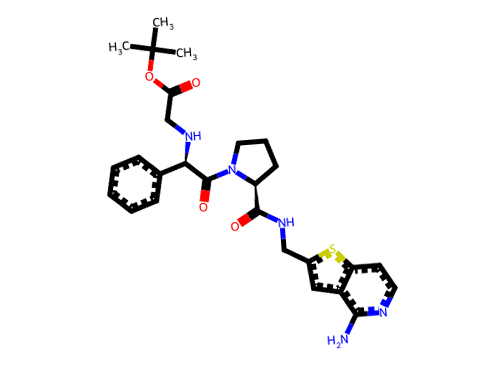 CC(C)(C)OC(=O)CN[C@@H](C(=O)N1CCC[C@H]1C(=O)NCc1cc2c(N)nccc2s1)c1ccccc1